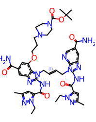 CCn1nc(C)cc1C(=O)Nc1nc2cc(C(N)=O)cnc2n1C/C=C/Cn1c(NC(=O)c2cc(C)nn2CC)nc2cc(C(N)=O)cc(OCCCN3CCN(C(=O)OC(C)(C)C)CC3)c21